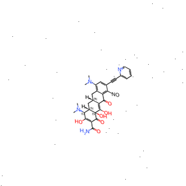 CN(C)c1cc(C#Cc2ccccn2)c(N=O)c2c1C[C@H]1C[C@H]3[C@H](N(C)C)C(O)=C(C(N)=O)C(=O)[C@@]3(O)C(O)=C1C2=O